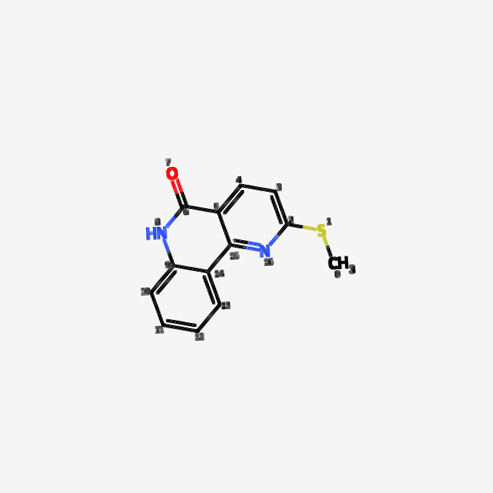 CSc1ccc2c(=O)[nH]c3ccccc3c2n1